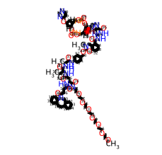 COCCOCCOCCOCCOCCOCCOCCNC(=O)[C@H](CC(=O)N[C@H](C(=O)N[C@@H](C)C(=O)Nc1ccc(COC(=O)N(C)Cc2ccccc2C(=O)Nc2nc3c(ncn3[C@@H]3O[C@@H]4CO[PH](=O)O[C@H]5C[C@H](Oc6ccncn6)C[C@@H]5CO[PH](=O)O[C@@H]3[C@@H]4O)c(=O)[nH]2)cc1)C(C)C)NC(=O)CCC(=O)N1Cc2ccccc2/C=C\c2ccccc21